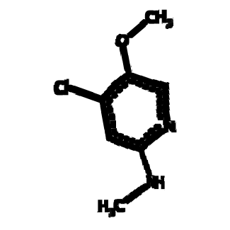 CNc1cc(Cl)c(OC)cn1